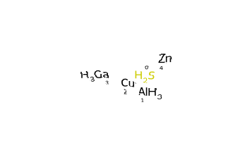 S.[AlH3].[Cu].[GaH3].[Zn]